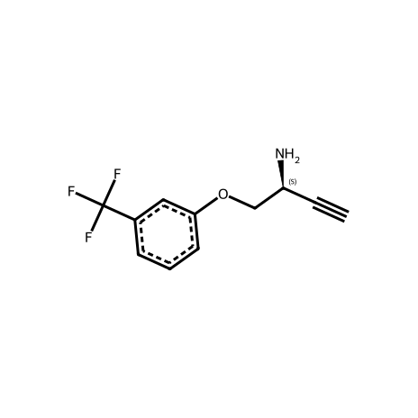 C#C[C@H](N)COc1cccc(C(F)(F)F)c1